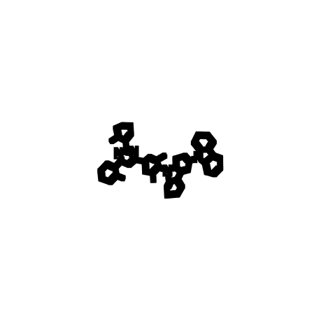 Cc1ccccc1-c1cc(-c2cc(C)c(-n3c4ccccc4c4cc(-n5c6ccccc6c6ccccc65)ccc43)c(C)c2)nc(-c2ccccc2C)n1